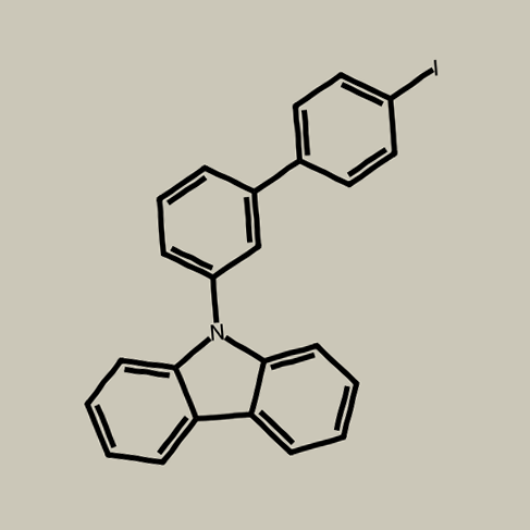 Ic1ccc(-c2cccc(-n3c4ccccc4c4ccccc43)c2)cc1